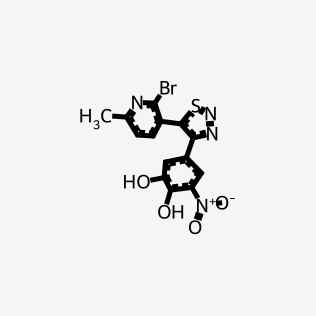 Cc1ccc(-c2snnc2-c2cc(O)c(O)c([N+](=O)[O-])c2)c(Br)n1